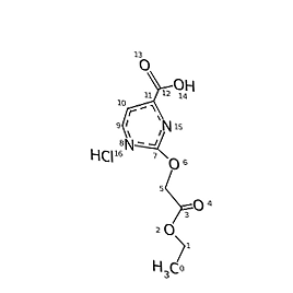 CCOC(=O)COc1nccc(C(=O)O)n1.Cl